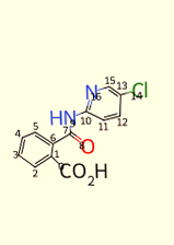 O=C(O)c1ccccc1C(=O)Nc1ccc(Cl)cn1